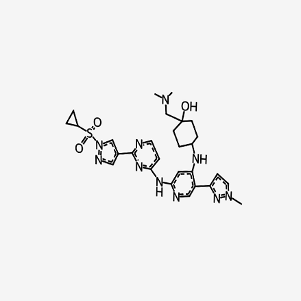 CN(C)CC1(O)CCC(Nc2cc(Nc3ccnc(-c4cnn(S(=O)(=O)C5CC5)c4)n3)ncc2-c2ccn(C)n2)CC1